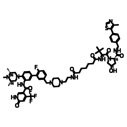 Cc1ncsc1-c1ccc(CNC(=O)[C@@H]2C[C@@H](O)CN2C(=O)[C@@H](NC(=O)CCCCCC(=O)NCCN2CCN(Cc3ccc(F)c(-c4ccc(N5C[C@@H](C)N(C)[C@@H](C)C5)c(NC(=O)c5c[nH]c(=O)cc5C(F)(F)F)c4)c3)CC2)C(C)(C)C)cc1